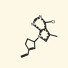 C=CC1=CC(n2cc(C)c3c(Cl)ncnc32)CC1